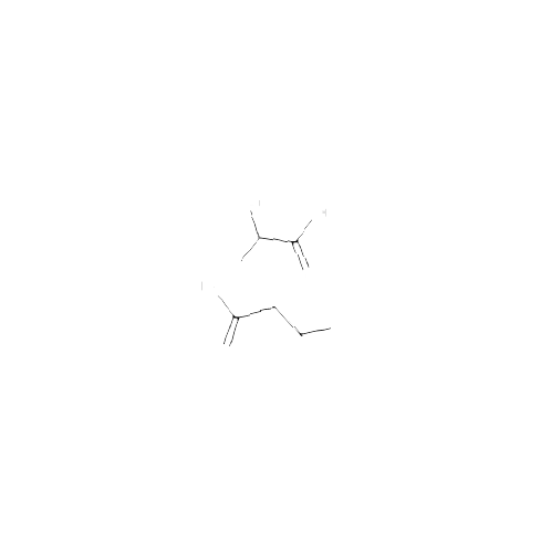 CC(S)C(=O)O.CCCC(=O)O